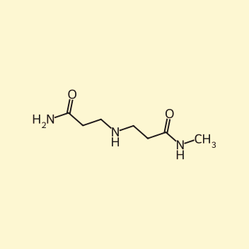 CNC(=O)CCNCCC(N)=O